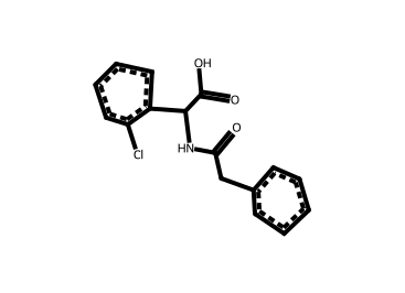 O=C(Cc1ccccc1)NC(C(=O)O)c1ccccc1Cl